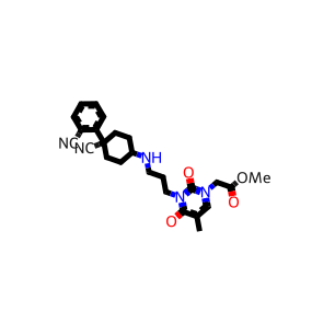 COC(=O)Cn1cc(C)c(=O)n(CCCNC2CCC(C#N)(c3ccccc3C#N)CC2)c1=O